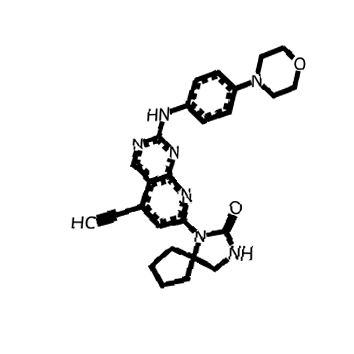 C#Cc1cc(N2C(=O)NCC23CCCC3)nc2nc(Nc3ccc(N4CCOCC4)cc3)ncc12